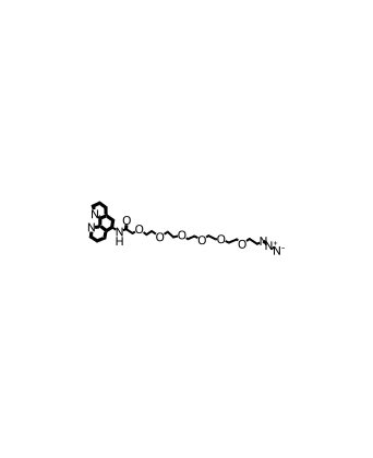 [N-]=[N+]=NCCOCCOCCOCCOCCOCCOCC(=O)Nc1cc2cccnc2c2ncccc12